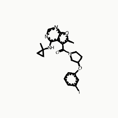 Cc1oc2ncnc(NC3(C)CC3)c2c1C(=O)N1CCC(Oc2cccc(I)c2)C1